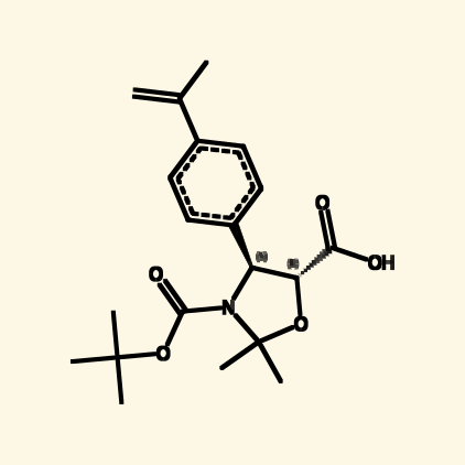 C=C(C)c1ccc([C@H]2[C@H](C(=O)O)OC(C)(C)N2C(=O)OC(C)(C)C)cc1